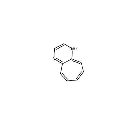 C1=CC=C2NC=CN=C2C=C1